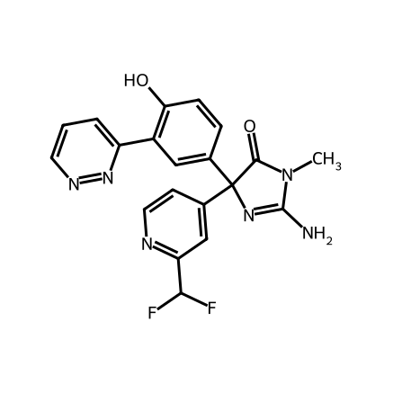 CN1C(=O)C(c2ccnc(C(F)F)c2)(c2ccc(O)c(-c3cccnn3)c2)N=C1N